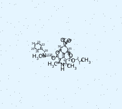 CCCOC(=O)C1=C(C)NC(C)=C(C(=O)OCCN(C)Cc2ccccc2)C1c1ccc([N+](=O)[O-])cc1F